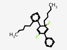 CCCCCc1ccccc1C1C=C(F)C(c2ccccc2)=CC1(F)CCCCC